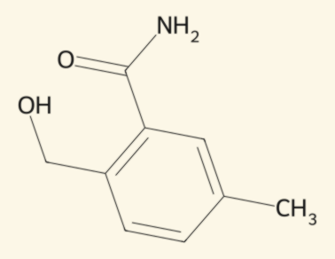 Cc1ccc(CO)c(C(N)=O)c1